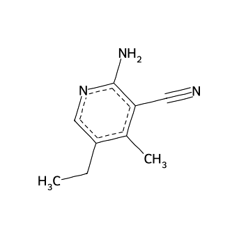 CCc1cnc(N)c(C#N)c1C